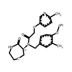 CCCOc1ccc(CN(C(=O)COc2ccc(C)nc2)[C@H]2CCCCNC2=O)cc1C